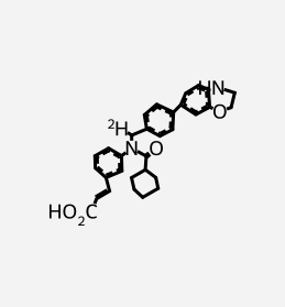 [2H]C(c1ccc(-c2ccc3c(c2)OCCN3)cc1)N(C(=O)C1CCCCC1)c1cccc(/C=C/C(=O)O)c1